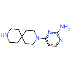 Nc1nccc(N2CCC3(CCNCC3)CC2)n1